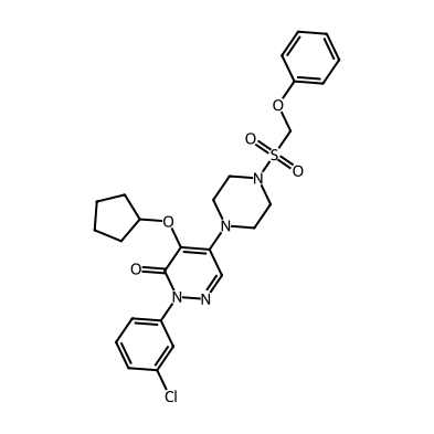 O=c1c(OC2CCCC2)c(N2CCN(S(=O)(=O)COc3ccccc3)CC2)cnn1-c1cccc(Cl)c1